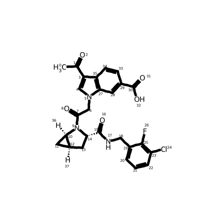 CC(=O)c1cn(CC(=O)N2[C@@H]3C[C@@H]3C[C@H]2C(=O)NCc2cccc(Cl)c2F)c2cc(C(=O)O)ccc12